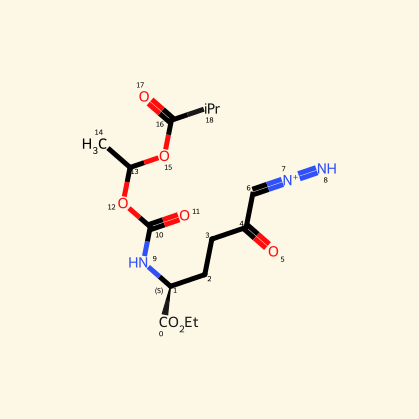 CCOC(=O)[C@H](CCC(=O)C=[N+]=N)NC(=O)OC(C)OC(=O)C(C)C